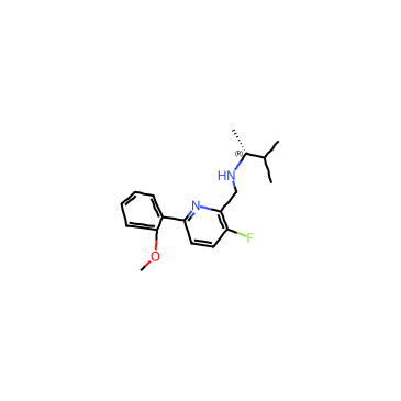 COc1ccccc1-c1ccc(F)c(CN[C@H](C)C(C)C)n1